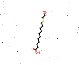 O=C(O)CCCCCCCCCCSCCO